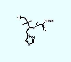 CNC(=O)ON=C(Cn1cncn1)C(C)(C)CCl